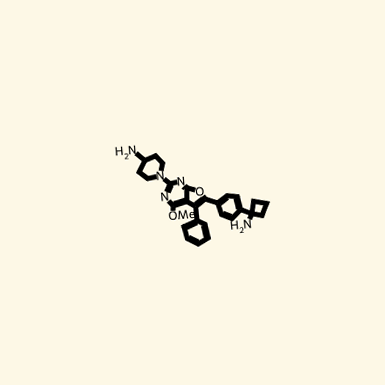 COc1nc(N2CCC(N)CC2)nc2oc(-c3ccc(C4(N)CCC4)cc3)c(-c3ccccc3)c12